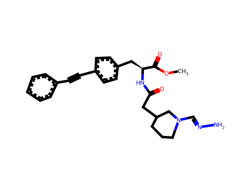 COC(=O)[C@H](Cc1ccc(C#Cc2ccccc2)cc1)NC(=O)CC1CCCN(C=NN)C1